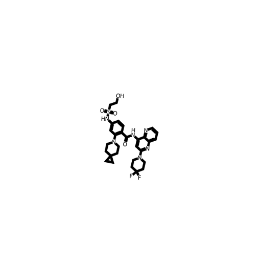 O=C(Nc1cc(N2CCC(F)(F)CC2)nc2cccnc12)c1ccc(NS(=O)(=O)CCO)cc1N1CCC2(CC1)CC2